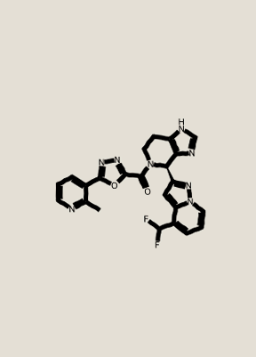 Cc1ncccc1-c1nnc(C(=O)N2CCc3[nH]cnc3[C@H]2c2cc3c(C(F)F)cccn3n2)o1